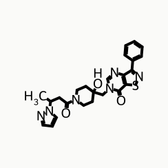 CC(CC(=O)N1CCC(O)(Cn2cnc3c(-c4ccccc4)nsc3c2=O)CC1)n1cccn1